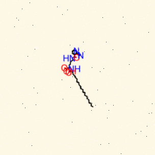 CCC=CCC=CCC=CCC=CCC=CCC=CCCC(=O)N[C@@H](CCCCNC(=O)c1cccnc1C#N)C(=O)O